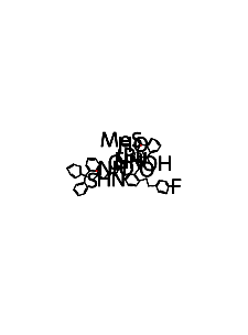 CSCC[C@H](NC(=O)c1cc(NC(C(=O)OC(C)(C)C)C2CC(SC(c3ccccc3)(c3ccccc3)c3ccccc3)CN2)ccc1CCc1ccc(F)cc1)C(O)c1ccccc1O